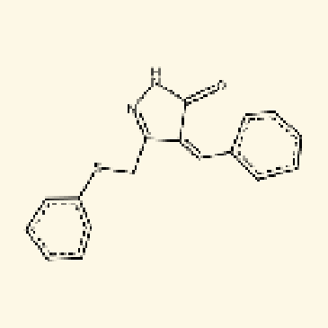 O=C1NN=C(CSc2ccccc2)/C1=C/c1ccccc1